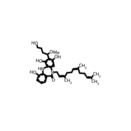 COC(CCCO)c1c(O)cc2c(c1O)Nc1c(O)cccc1C(=O)N2CC=C(C)CCC=C(C)CCC=C(C)C